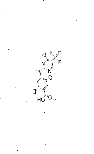 COc1cc(C(=O)O)c(Cl)cc1Nc1ncc(C(F)(F)F)c(Cl)n1